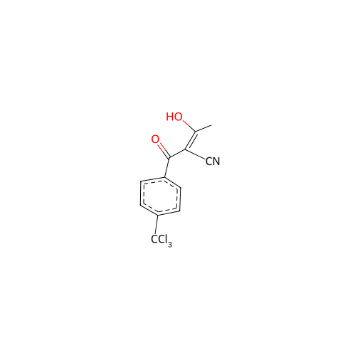 C/C(O)=C(\C#N)C(=O)c1ccc(C(Cl)(Cl)Cl)cc1